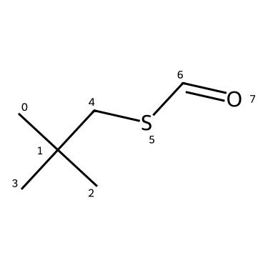 CC(C)(C)CSC=O